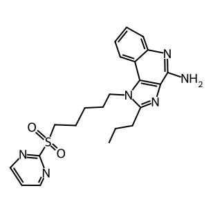 CCCc1nc2c(N)nc3ccccc3c2n1CCCCCS(=O)(=O)c1ncccn1